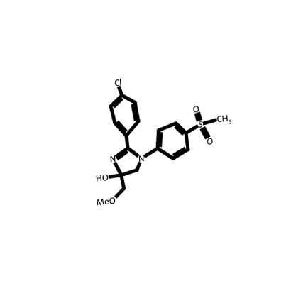 COCC1(O)CN(c2ccc(S(C)(=O)=O)cc2)C(c2ccc(Cl)cc2)=N1